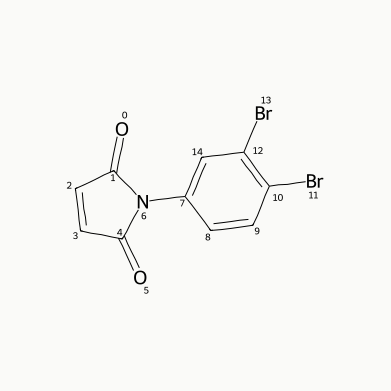 O=C1C=CC(=O)N1c1ccc(Br)c(Br)c1